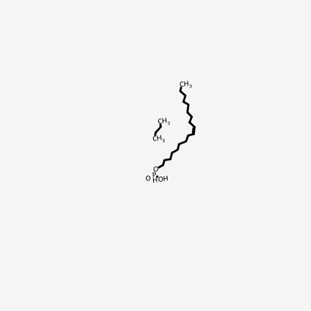 CCCC.CCCCCCCC/C=C\CCCCCCCCO[PH](=O)O